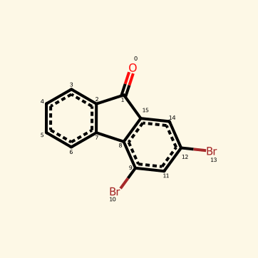 O=C1c2ccccc2-c2c(Br)cc(Br)cc21